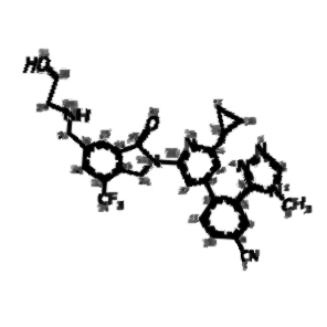 Cn1cnnc1-c1cc(C#N)ccc1-c1cc(C2CC2)nc(N2Cc3c(cc(CNCCO)cc3C(F)(F)F)C2=O)c1